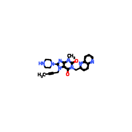 CC#CCn1c(N2CCNCC2)nc2c1c(=O)n(Cc1ccc3ncccc3n1)c(=O)n2C